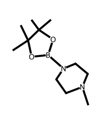 CN1CCN(B2OC(C)(C)C(C)(C)O2)CC1